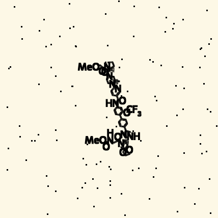 COCC(=O)N1CCC[C@@]1(C)C(=O)N1CCN(c2ccc(C(=O)Nc3ccc(-c4ccc(-c5c[nH]c([C@@H]6CC7(CN6C(=O)CNC(=O)OC)OCCO7)n5)cc4)c(OC(F)(F)F)c3)cn2)[C@H](C)C1